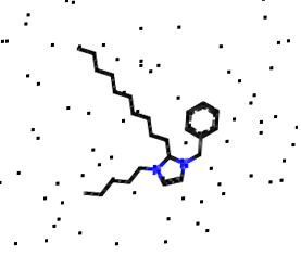 CCCCCCCCCCC1N(CCCCC)C=CN1Cc1ccccc1